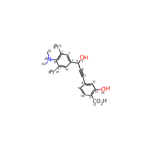 CC(C)c1cc(C(O)C#Cc2ccc(C(=O)O)c(O)c2)cc(C(C)C)c1N(C)C